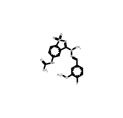 COc1cc(/C=N/N(C)C2=NS(=O)(=O)c3ccc(NC(C)=O)cc32)ccc1F